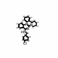 Clc1ccc(CNc2nc(N3CCCCC3c3ccccc3)nc3ccccc23)cc1